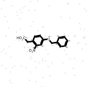 O=C(O)Cc1ccc(OCc2ccccc2)cc1[N+](=O)[O-]